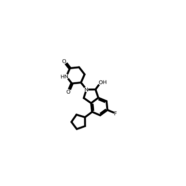 O=C1CCC(N2Cc3c(C4CCCC4)cc(F)cc3C2O)C(=O)N1